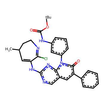 CC1C=C(Nc2ncc3cc(-c4ccccc4)c(=O)n(-c4cccc(NC(=O)OC(C)(C)C)c4)c3n2)C(Cl)=NCC1